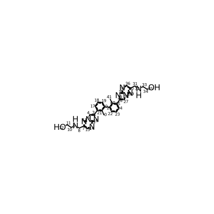 Cc1c(-c2cn3nc(CNCCO)cnc3n2)cccc1-c1cccc(-c2cn3nc(CNCCO)cnc3n2)c1C